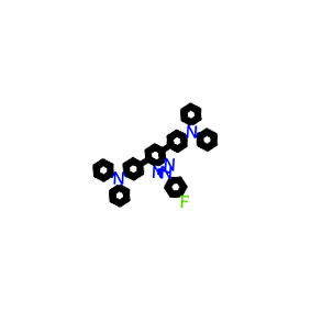 Fc1ccc(-n2nc3c(-c4ccc(N(c5ccccc5)c5ccccc5)cc4)ccc(-c4ccc(N(c5ccccc5)c5ccccc5)cc4)c3n2)cc1